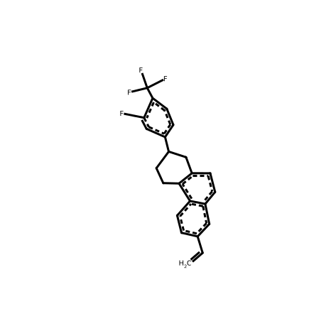 C=Cc1ccc2c3c(ccc2c1)CC(c1ccc(C(F)(F)F)c(F)c1)CC3